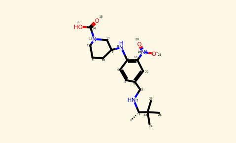 C[C@H](NCc1ccc(NC2CCCN(C(=O)O)C2)c([N+](=O)[O-])c1)C(C)(C)C